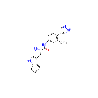 COc1cc(NC(=O)C(N)Cc2c[nH]c3ccccc23)ccc1-c1cn[nH]c1